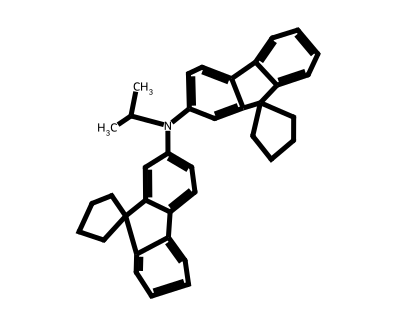 CC(C)N(c1ccc2c(c1)C1(CCCC1)c1ccccc1-2)c1ccc2c(c1)C1(CCCC1)c1ccccc1-2